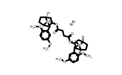 COc1ccc(OC)c(C[N+]2(C)[C@@H]3CC[C@H]2CC(OC(=O)CCC(=O)OC2C[C@H]4CC[C@@H](C2)[N+]4(C)Cc2cc(OC)ccc2OC)C3)c1.[Br-].[Br-]